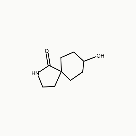 O=C1NCCC12CCC(O)CC2